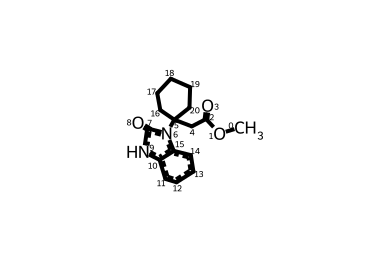 COC(=O)CC1(n2c(=O)[nH]c3ccccc32)CCCCC1